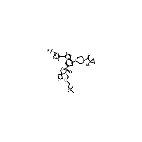 CCC1(C(=O)N2CCN(c3cc(S(=O)(=O)N(COCC[Si](C)(C)C)C4(C)COC4)cn4c(-c5nnc(C(F)(F)F)s5)ncc34)CC2)CC1